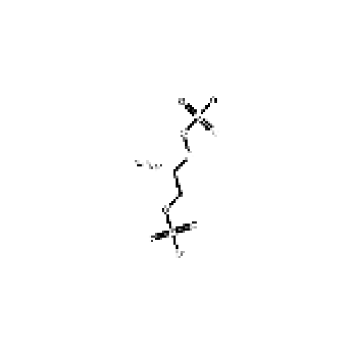 O=S(=O)([O-])OCCOOS(=O)(=O)[O-].[Na+].[Na+]